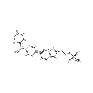 CS(=O)(=O)OCCc1cc2cc(-c3ccc(C(=O)N4CCOCC4)cc3)ccc2o1